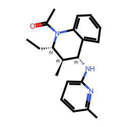 CC[C@H]1[C@H](C)[C@@H](Nc2cccc(C)n2)c2ccccc2N1C(C)=O